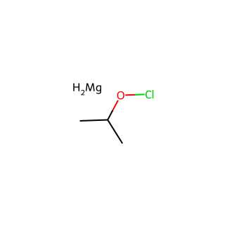 CC(C)OCl.[MgH2]